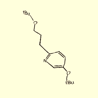 CC(C)(C)OCCCc1ccc(OC(C)(C)C)cn1